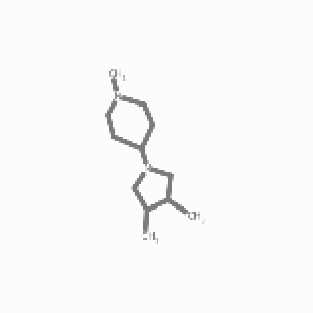 CC1CN(C2CCN(C)CC2)CC1C